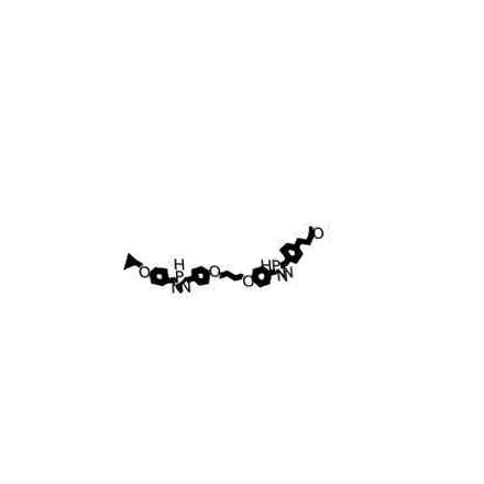 c1cc(-c2nnc(-c3ccc(OCCCCOc4ccc(-c5nnc(-c6ccc(OCC7CC7)cc6)[pH]5)cc4)cc3)[pH]2)ccc1CCC1CO1